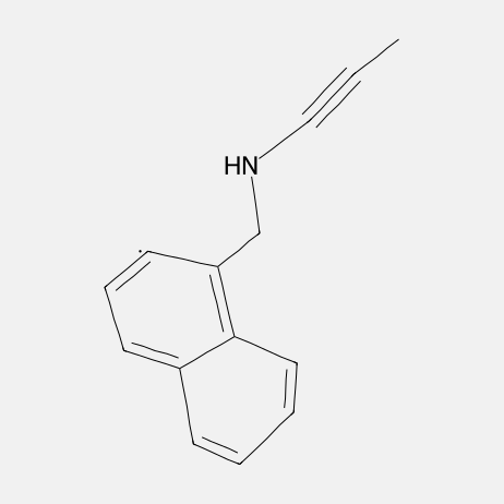 CC#CNCc1[c]ccc2ccccc12